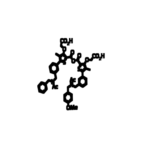 COc1ccc(CN(Cc2cccc(-c3sc(C(=O)OC(=O)c4sc(-c5cccc(CN(Cc6ccccc6)C(C)=O)c5)c(C)c4OCC(=O)O)c(OCC(=O)O)c3C)c2)C(C)=O)cc1